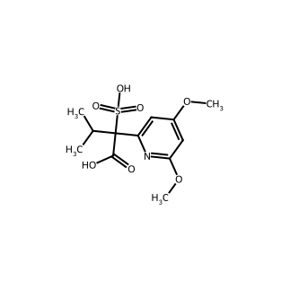 COc1cc(OC)nc(C(C(=O)O)(C(C)C)S(=O)(=O)O)c1